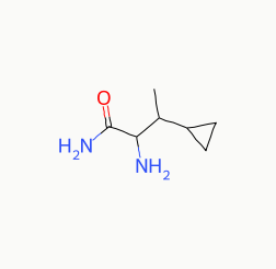 CC(C1CC1)C(N)C(N)=O